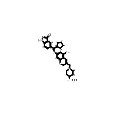 CCOC(=O)C1CCN(CC2=Cc3c(F)cc(OC(c4ccc5[nH]nc(Cl)c5c4)C4CCCC4)cc3OC2)CC1